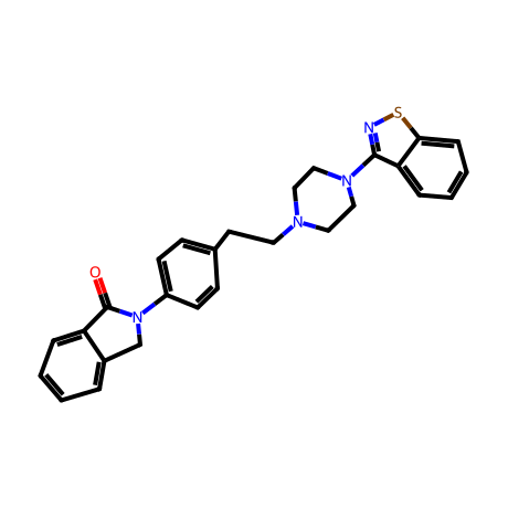 O=C1c2ccccc2CN1c1ccc(CCN2CCN(c3nsc4ccccc34)CC2)cc1